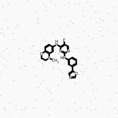 CN1CCOc2ccc(Nc3nc(Nc4cccc(-c5cnco5)c4)ncc3F)cc21